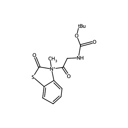 CC(C)(C)OC(=O)NCC(=O)[N+]1(C)C(=O)Sc2ccccc21